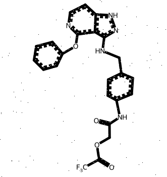 O=C(COC(=O)C(F)(F)F)Nc1ccc(CNc2n[nH]c3ccnc(Oc4ccccc4)c23)cc1